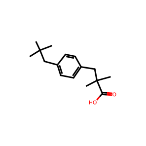 CC(C)(C)Cc1ccc(CC(C)(C)C(=O)O)cc1